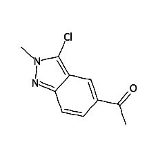 CC(=O)c1ccc2nn(C)c(Cl)c2c1